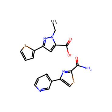 CCn1nc(-c2cccs2)cc1C(=O)O.NC(=O)c1nc(-c2cccnc2)cs1